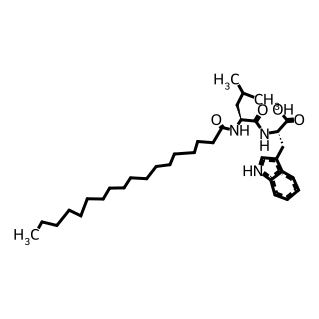 CCCCCCCCCCCCCCCCCC(=O)N[C@@H](CC(C)C)C(=O)N[C@@H](Cc1c[nH]c2ccccc12)C(=O)O